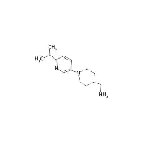 CC(C)c1ccc(N2CCC(CN)CC2)cn1